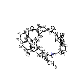 CO[C@H]1/C=C/C[C@H]2CC[C@@H]2S(=O)(=O)NC(=O)c2ccc3c(c2)N(C[C@@H]2CC[C@H]21)C[C@@]1(CCCc2cc(Cl)ccc21)CO3